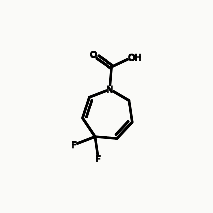 O=C(O)N1C=CC(F)(F)C=CC1